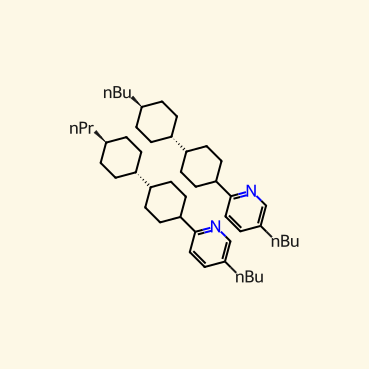 CCCCc1ccc(C2CCC([C@H]3CC[C@H](CCC)CC3)CC2)nc1.CCCCc1ccc(C2CCC([C@H]3CC[C@H](CCCC)CC3)CC2)nc1